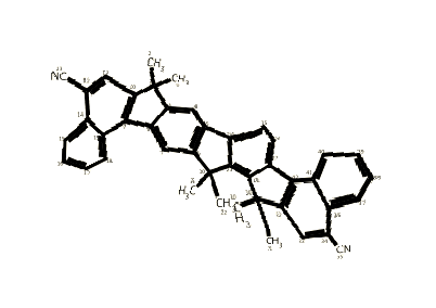 CC1(C)c2cc3c(cc2-c2c1cc(C#N)c1ccccc21)C(C)(C)c1c-3ccc2c1C(C)(C)c1cc(C#N)c3ccccc3c1-2